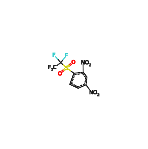 O=[N+]([O-])c1ccc(S(=O)(=O)C(F)(F)C(F)(F)F)c([N+](=O)[O-])c1